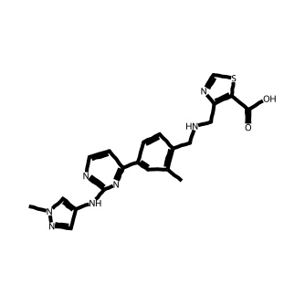 Cc1cc(-c2ccnc(Nc3cnn(C)c3)n2)ccc1CNCc1ncsc1C(=O)O